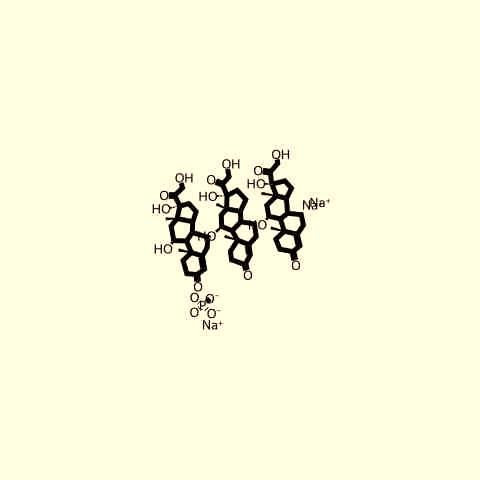 C[C@]12CCC(=O)C=C1CCC1C2[C@@H](O)C[C@@]2(C)C1CC[C@]2(O)C(=O)CO.C[C@]12CCC(=O)C=C1CCC1C2[C@@H](O)C[C@@]2(C)C1CC[C@]2(O)C(=O)CO.C[C@]12CCC(=O)C=C1CCC1C2[C@@H](O)C[C@@]2(C)C1CC[C@]2(O)C(=O)CO.O=P([O-])([O-])[O-].[Na+].[Na+].[Na+]